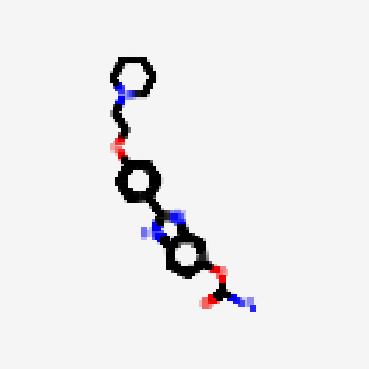 NC(=O)Oc1ccc2[nH]c(-c3ccc(OCCN4CCCCC4)cc3)nc2c1